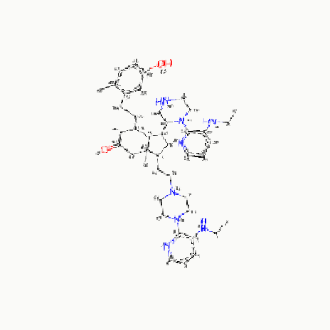 CCNc1cccnc1N1CCN(CCC2CC(C3CNCCN3c3ncccc3NCC)C3C(CCc4cc(O)ccc4C)CC(=O)CC23C)CC1